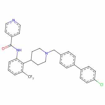 O=C(Nc1cccc(C(F)(F)F)c1C1CCN(Cc2ccc(-c3ccc(Cl)cc3)cc2)CC1)c1ccncc1